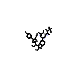 CC\C(C)=C/C(=C\N=C(/C)N(C)S(C)(=O)=O)c1ccc2nc(CC)c(N(CC)c3nc(-c4ccc(F)cc4)c(C#N)s3)n2c1